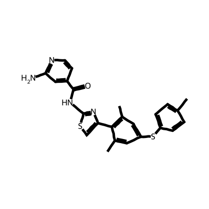 Cc1ccc(Sc2cc(C)c(-c3csc(NC(=O)c4ccnc(N)c4)n3)c(C)c2)cc1